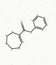 O=C(Cc1ccccc1)C1=CCCCCC1